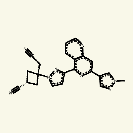 Cn1cc(-c2cc3ncccc3c(-c3ccn([C@]4(CC#N)C[C@H](C#N)C4)n3)n2)cn1